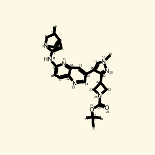 CC1Cn2cc1cc2Nc1ccc2ncc(-c3cn(C)nc3C3CN(C(=O)OC(C)(C)C)C3)cc2n1